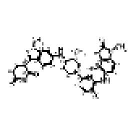 C[C@@H]1CN(c2ncc(Cl)c(Nc3ccc4c(c3F)CC(=O)N4C)n2)CC[C@H]1Nc1ccc2c([C@@H]3CCC(=O)NC3=O)nn(C)c2c1